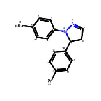 CCCCc1ccc(N2N=CCC2c2ccc(C(C)C)cc2)cc1